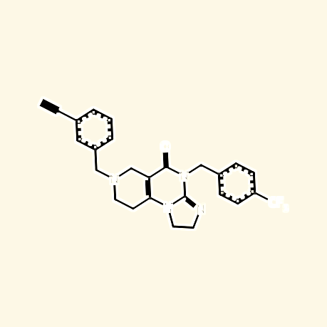 C#Cc1cccc(CN2CCC3=C(C2)C(=O)N(Cc2ccc(C(F)(F)F)cc2)C2=NCCN23)c1